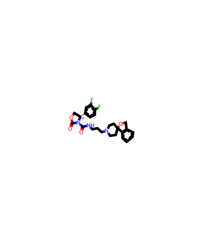 O=C(NCCCN1CCC2(CC1)OCc1ccccc12)N1C(=O)OC[C@@H]1c1ccc(F)c(F)c1